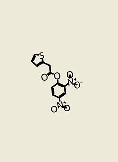 O=C(Cc1cccs1)Oc1ccc([N+](=O)[O-])cc1[N+](=O)[O-]